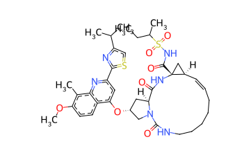 CCC(C)S(=O)(=O)NC(=O)[C@@]12C[C@H]1/C=C\CCCCCNC(=O)N1C[C@H](Oc3cc(-c4nc(C(C)C)cs4)nc4c(C)c(OC)ccc34)C[C@H]1C(=O)N2